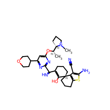 C[C@H](Oc1cc(C2CCOCC2)nc(C(=N)C2=C(O)[C@@]3(CCC2)CCCc2sc(N)c(C#N)c23)n1)[C@@H]1CCCN1C